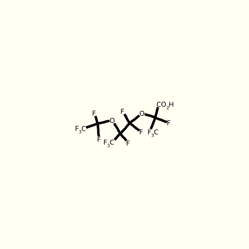 O=C(O)C(F)(OC(F)(F)C(F)(OC(F)(F)C(F)(F)F)C(F)(F)F)C(F)(F)F